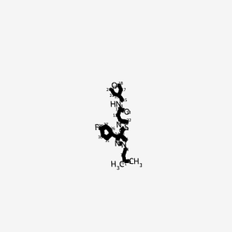 CC(C)CCn1cc(-c2nc(CC(=O)NCC3CCOCC3)cs2)c(-c2ccc(F)cc2)n1